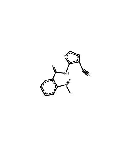 N#Cc1ccsc1NC(=O)c1ccccc1[N+](=O)[O-]